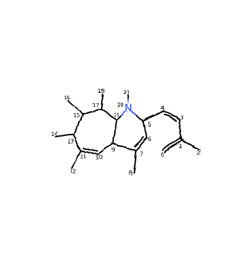 C=C(C)/C=C\C1C=C(C)C2C=C(C)C(C)C(C)C(C)C2N1C